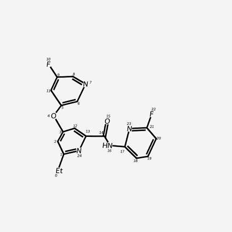 CCc1cc(Oc2cncc(F)c2)cc(C(=O)Nc2cccc(F)n2)n1